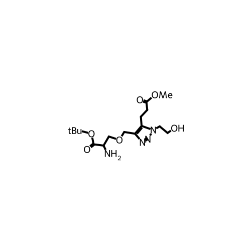 COC(=O)CCc1c(COCC(N)C(=O)OC(C)(C)C)nnn1CCO